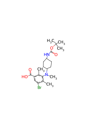 Cc1c(Br)cc(C(=O)O)c(C)c1N(C)C1CCC(NC(=O)OC(C)(C)C)CC1